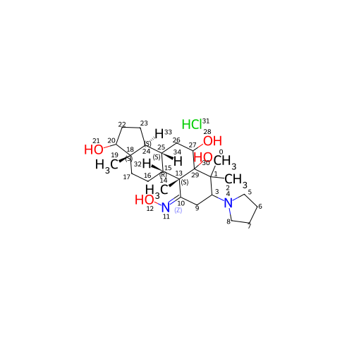 CC1(C)C(N2CCCC2)C/C(=N/O)[C@]2(C)[C@@H]3CC[C@]4(C)C(O)CC[C@H]4[C@@H]3CC(O)C12O.Cl